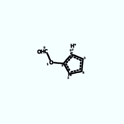 O=COc1nccs1.[H+]